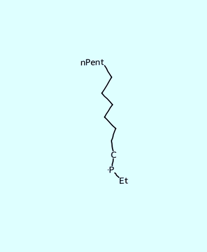 CCCCCCCCCCCC[P]CC